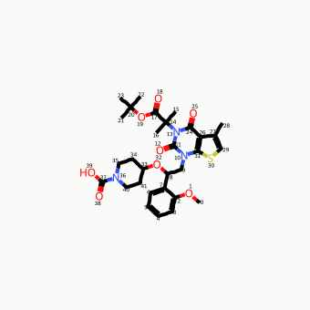 COc1ccccc1C(Cn1c(=O)n(C(C)(C)C(=O)OC(C)(C)C)c(=O)c2c(C)csc21)OC1CCN(C(=O)O)CC1